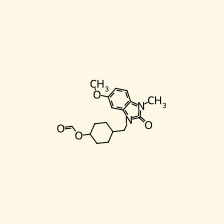 COc1ccc2c(c1)n(CC1CCC(OC=O)CC1)c(=O)n2C